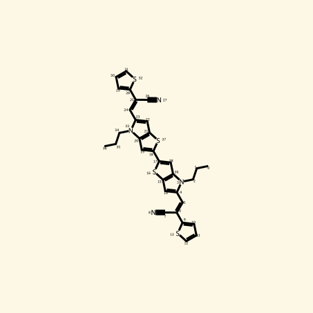 CCCn1c(/C=C(\C#N)c2cccs2)cc2sc(-c3cc4c(cc(/C=C(\C#N)c5cccs5)n4CCC)s3)cc21